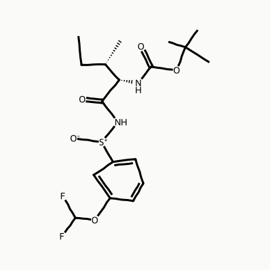 CC[C@H](C)[C@H](NC(=O)OC(C)(C)C)C(=O)N[S+]([O-])c1cccc(OC(F)F)c1